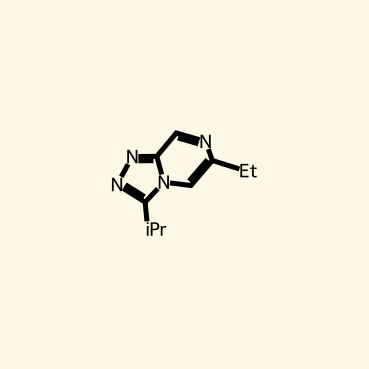 CCc1cn2c(C(C)C)nnc2cn1